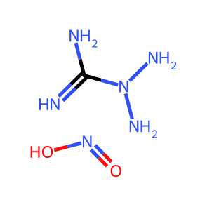 N=C(N)N(N)N.O=NO